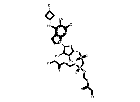 CC(C)CC(=O)OCOP(=O)(CS(=O)(=O)C[C@H]1O[C@@H](n2ccc3c(N[C@H]4C[C@@H](F)C4)c(C#N)c(Cl)nc32)[C@H](O)[C@@H]1O)OCOC(=O)CC(C)C